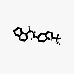 C[C@@H](NC(=O)c1ccc2nc(C(C)(C)C(F)(F)F)ccc2c1)c1ccnc2ccccc12